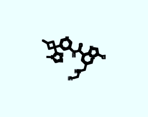 CC(C)CNCc1cc(C(=O)Nc2cncc(C3(c4nncn4C)CC(C)C3)c2)c2ncc(Cl)n2c1